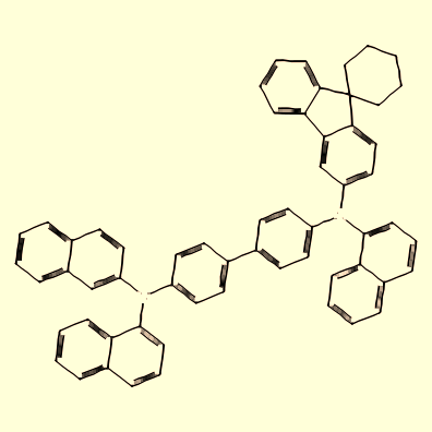 c1ccc2c(c1)-c1cc(N(c3ccc(-c4ccc(N(c5ccc6ccccc6c5)c5cccc6ccccc56)cc4)cc3)c3cccc4ccccc34)ccc1C21CCCCC1